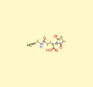 C#CCNC(=O)CCC(C(=O)O)N1C(=O)CCC1=O